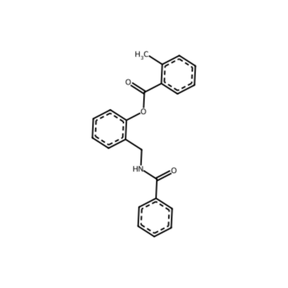 Cc1ccccc1C(=O)Oc1ccccc1CNC(=O)c1ccccc1